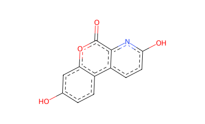 O=c1oc2cc(O)ccc2c2ccc(O)nc12